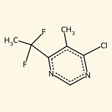 Cc1c(Cl)ncnc1C(C)(F)F